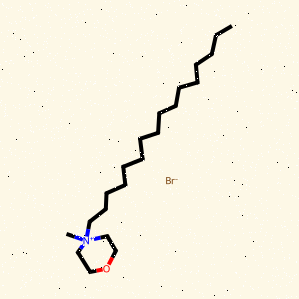 CCCCCCCCCCCCCCCC[N+]1(C)CCOCC1.[Br-]